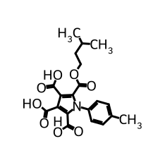 Cc1ccc(-n2c(C(=O)O)c(C(=O)O)c(C(=O)O)c2C(=O)OCCC(C)C)cc1